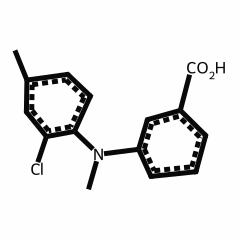 Cc1ccc(N(C)c2cccc(C(=O)O)c2)c(Cl)c1